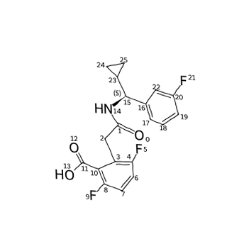 O=C(Cc1c(F)ccc(F)c1C(=O)O)N[C@H](c1cccc(F)c1)C1CC1